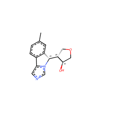 Cc1ccc2c(c1)[C@H]([C@@H]1COC[C@H]1O)n1cncc1-2